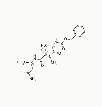 C[C@H](NC(=O)OCc1ccccc1)C(=O)N(C)[C@@H](C)C(=O)N[C@@H](CC(N)=O)C(=O)O